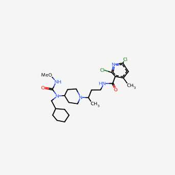 CONC(=O)N(CC1CCCCC1)C1CCN(C(C)CCNC(=O)c2c(C)cc(Cl)nc2Cl)CC1